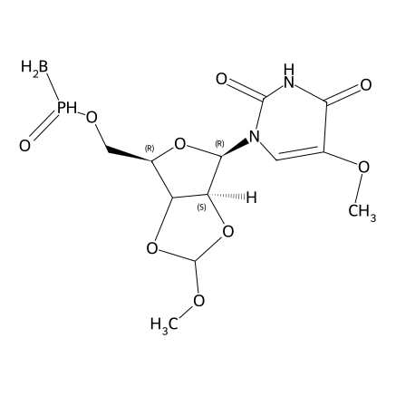 B[PH](=O)OC[C@H]1O[C@@H](n2cc(OC)c(=O)[nH]c2=O)[C@H]2OC(OC)OC12